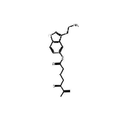 C=C(C)C(=O)CCCC(=O)Oc1ccc2[nH]cc(CCN)c2c1